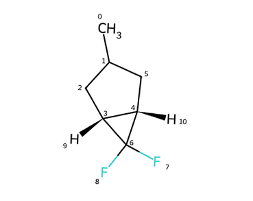 CC1C[C@@H]2[C@H](C1)C2(F)F